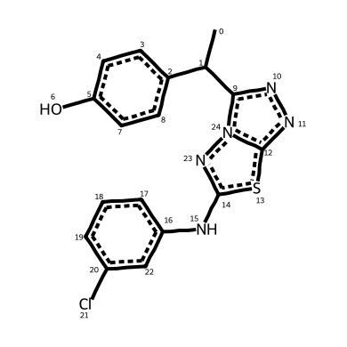 CC(c1ccc(O)cc1)c1nnc2sc(Nc3cccc(Cl)c3)nn12